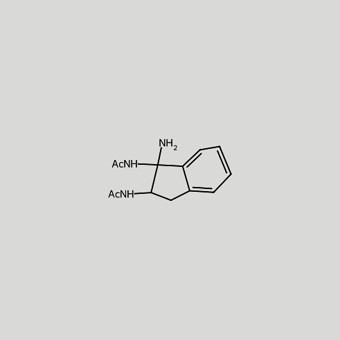 CC(=O)NC1Cc2ccccc2C1(N)NC(C)=O